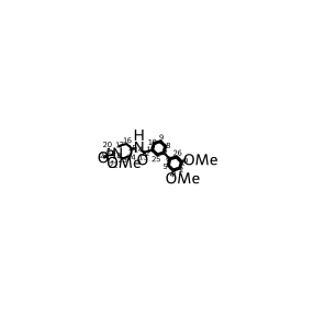 COc1cc(OC)cc(-c2cccc(C(=O)NC3CCN(P(C)(=O)OC)CC3)c2)c1